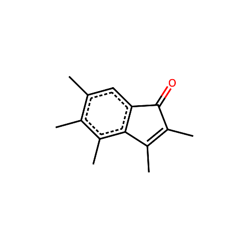 CC1=C(C)c2c(cc(C)c(C)c2C)C1=O